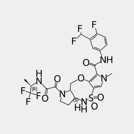 C[C@@H](NC(=O)C(=O)N1CC[C@@H]2NS(=O)(=O)c3cn(C)c(C(=O)Nc4ccc(F)c(C(F)F)c4)c3OCC21)C(F)(F)F